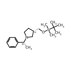 C[C@H](c1ccccc1)N1CC[C@H](CO[Si](C)(C)C(C)(C)C)C1